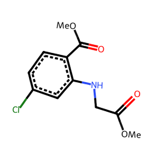 COC(=O)CNc1cc(Cl)ccc1C(=O)OC